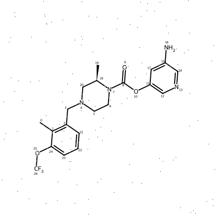 Cc1c(CN2CCN(C(=O)Oc3cncc(N)c3)[C@H](C)C2)cccc1OC(F)(F)F